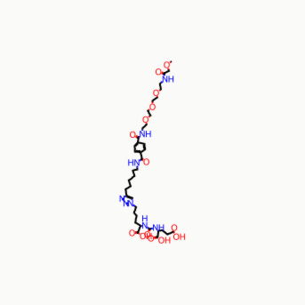 COCC(=O)NCCOCCOCCOCCNC(=O)c1ccc(C(=O)NCCCCCCc2cn(CCCCC(NC(=O)NC(CCC(=O)O)C(=O)O)C(=O)O)nn2)cc1